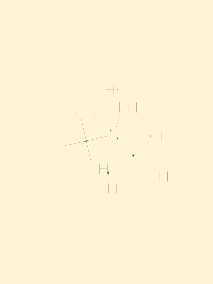 CC(C)(C)N(P)C(C)(C)C.Cl